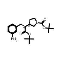 Bc1cccc(C[C@H](C(=O)OC(C)(C)C)[C@H]2CCN(C(=O)OC(C)(C)C)C2)c1